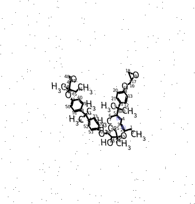 CC/C(=C\C=C(/CC)C(C)(C)c1ccc(OCC2CO2)cc1)OC(C)(CC)C(O)COc1ccc(C(C)(C)c2ccc(OC(C)(CC)C3CO3)cc2)cc1